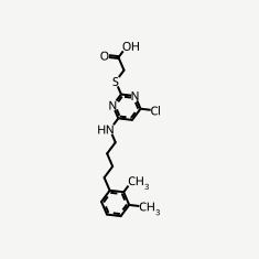 Cc1cccc(CCCCNc2cc(Cl)nc(SCC(=O)O)n2)c1C